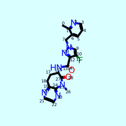 Cc1ncccc1Cn1cc(F)c(C(=O)N[C@H]2CCc3nccnc3N(C)C2=O)n1